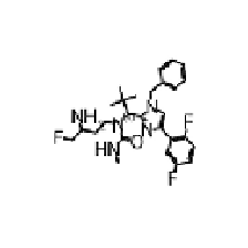 CNC(=O)N(CCC(N)CF)[C@@H](c1nc(-c2cc(F)ccc2F)cn1Cc1ccccc1)C(C)(C)C